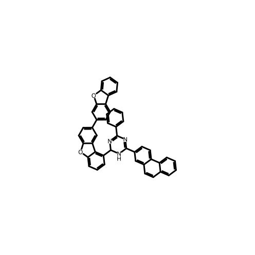 c1ccc(C2=NC(c3cccc4oc5ccc(-c6ccc7c(c6)oc6ccccc67)cc5c34)NC(c3ccc4c(ccc5ccccc54)c3)=N2)cc1